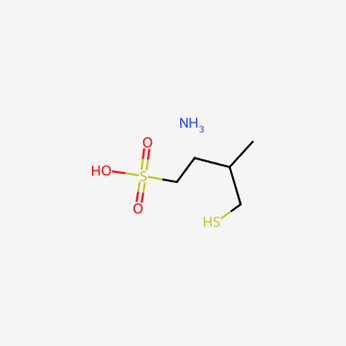 CC(CS)CCS(=O)(=O)O.N